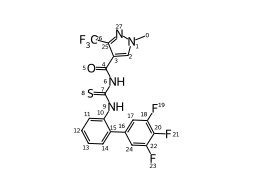 Cn1cc(C(=O)NC(=S)Nc2ccccc2-c2cc(F)c(F)c(F)c2)c(C(F)(F)F)n1